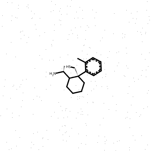 Cc1ccccc1[C@@]1(CS)CCCCC1[C@@H](C)N